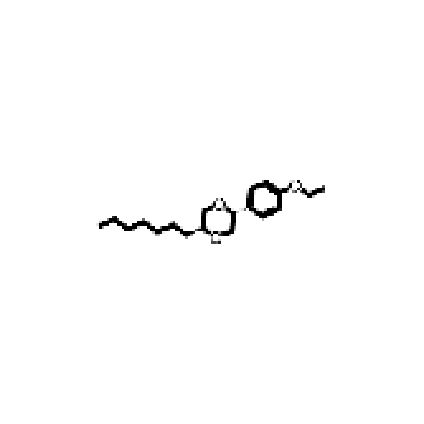 CCCCCCC[C@H]1CO[C@H](c2ccc(OCC)cc2)CO1